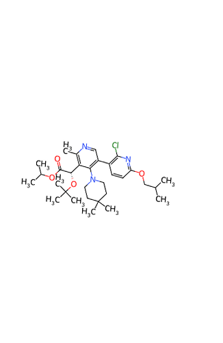 Cc1ncc(-c2ccc(OCC(C)C)nc2Cl)c(N2CCC(C)(C)CC2)c1[C@H](OC(C)(C)C)C(=O)OC(C)C